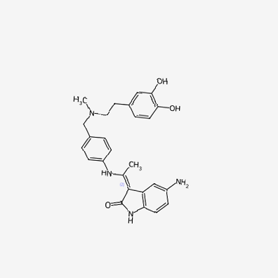 C/C(Nc1ccc(CN(C)CCc2ccc(O)c(O)c2)cc1)=C1/C(=O)Nc2ccc(N)cc21